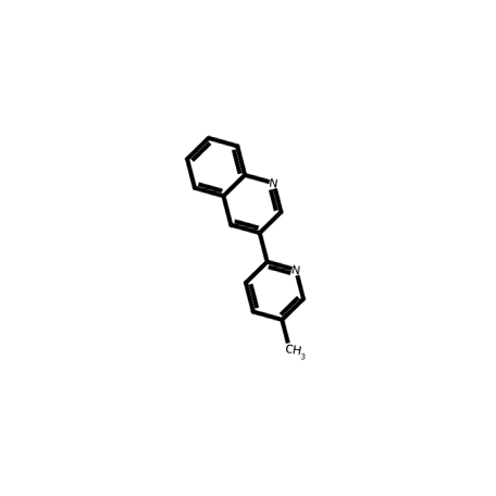 Cc1ccc(-c2cnc3ccccc3c2)nc1